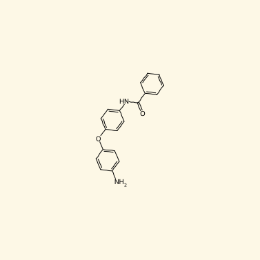 Nc1ccc(Oc2ccc(NC(=O)c3ccccc3)cc2)cc1